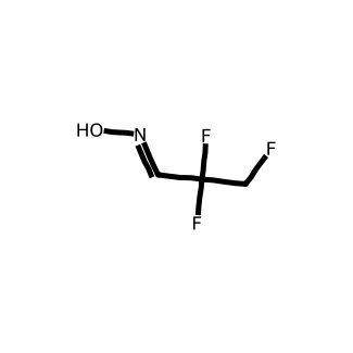 ON=CC(F)(F)CF